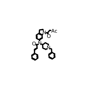 CC(=O)CC(=O)N1CCc2ccc(N(C(=O)C=Cc3ccccc3)C3CCN(Cc4ccccc4)CC3)cc21